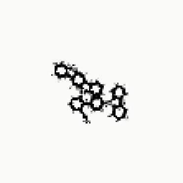 N#Cc1cccc(-n2c3ccccc3c3cc4sc5ccccc5c4cc32)c1-c1ccc(-n2c3c(c4ccccc42)C=CCC3)cc1